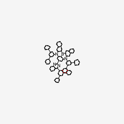 c1ccc(-c2cc(-c3ccccc3)cc(-c3nc(-c4cc5c6c(c4)N(c4cc(-c7ccccc7)cc(-c7ccccc7)c4)c4cc7ccccc7cc4B6c4cc6ccccc6cc4N5c4cc(-c5ccccc5)cc(-c5ccccc5)c4)nc4ccccc34)c2)cc1